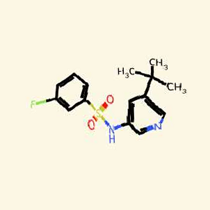 CC(C)(C)c1cncc(NS(=O)(=O)c2cccc(F)c2)c1